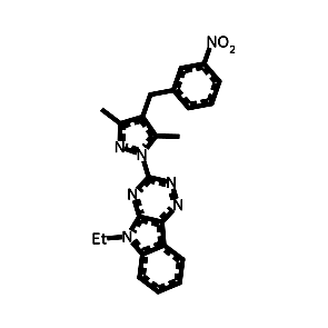 CCn1c2ccccc2c2nnc(-n3nc(C)c(Cc4cccc([N+](=O)[O-])c4)c3C)nc21